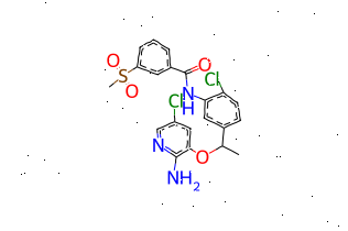 CC(Oc1cc(Cl)cnc1N)c1ccc(Cl)c(NC(=O)c2cccc(S(C)(=O)=O)c2)c1